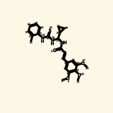 COc1cc(C=CC(=O)NC(NC(=S)Nc2ccccc2C)C2CC2)cc(OC)c1OC